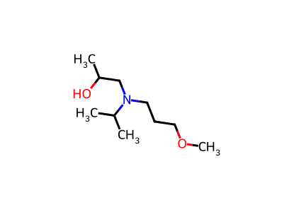 COCCCN(CC(C)O)C(C)C